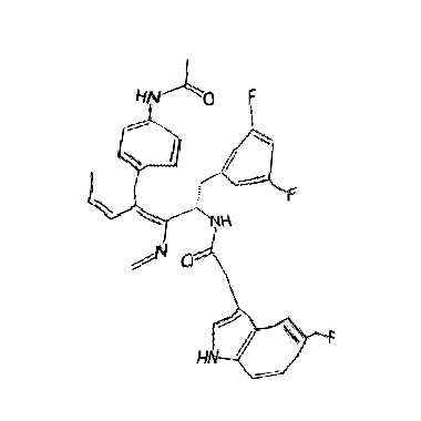 C=N/C(=C(\C=C/C)c1ccc(NC(C)=O)cc1)[C@H](Cc1cc(F)cc(F)c1)NC(=O)Cc1c[nH]c2ccc(F)cc12